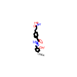 COc1ccc(/C=N/NC(=O)c2ccc(/C=C/C(=O)NO)cc2)c(O)c1